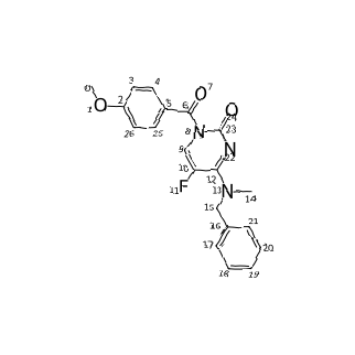 COc1ccc(C(=O)n2cc(F)c(N(C)Cc3ccccc3)nc2=O)cc1